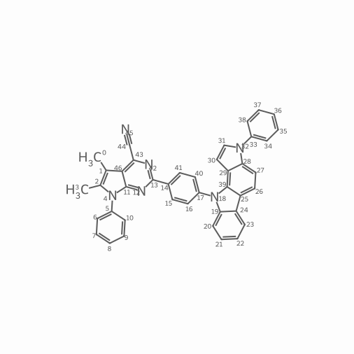 Cc1c(C)n(-c2ccccc2)c2nc(-c3ccc(-n4c5ccccc5c5ccc6c(ccn6-c6ccccc6)c54)cc3)nc(C#N)c12